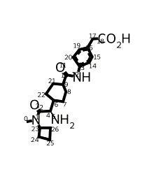 CN(C(=O)[C@@H](N)C1CCC(C(=O)Nc2ccc(CC(=O)O)cc2)CC1)C1CCC1